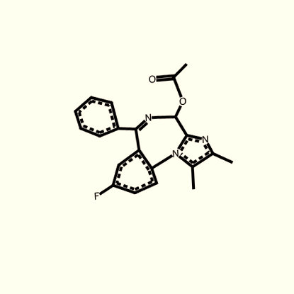 CC(=O)OC1N=C(c2ccccc2)c2cc(F)ccc2-n2c1nc(C)c2C